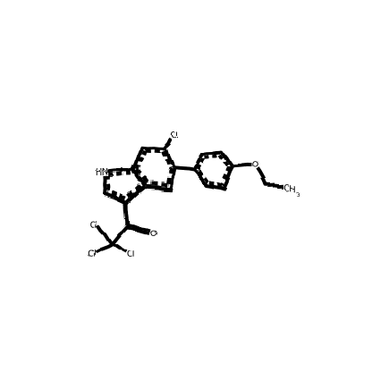 CCOc1ccc(-c2cc3c(C(=O)C(Cl)(Cl)Cl)c[nH]c3cc2Cl)cc1